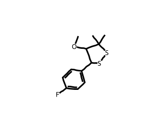 COC1C(c2ccc(F)cc2)SSC1(C)C